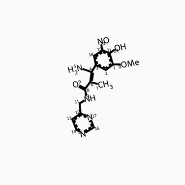 COc1cc(/C(N)=C(\C)C(=O)NCc2ccncn2)cc(N=O)c1O